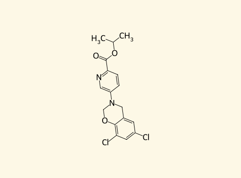 CC(C)OC(=O)c1ccc(N2COc3c(Cl)cc(Cl)cc3C2)cn1